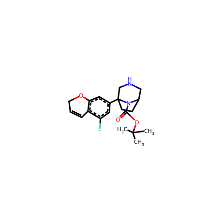 CC(C)(C)OC(=O)N1C2CCC1(c1cc(F)c3c(c1)OCC=C3)CNC2